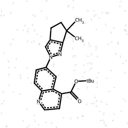 CC(C)(C)OC(=O)c1ccnc2ccc(-n3cc4c(n3)C(C)(C)CC4)cc12